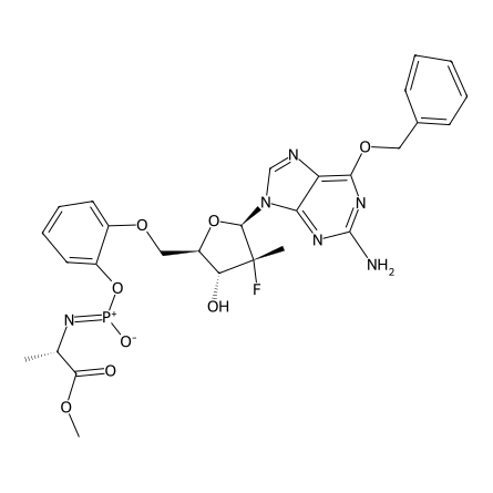 COC(=O)[C@H](C)/N=[P+](\[O-])Oc1ccccc1OC[C@H]1O[C@@H](n2cnc3c(OCc4ccccc4)nc(N)nc32)[C@](C)(F)[C@@H]1O